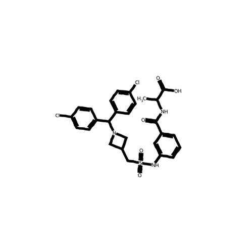 CC(NC(=O)c1cccc(NS(=O)(=O)CC2CN(C(c3ccc(Cl)cc3)c3ccc(Cl)cc3)C2)c1)C(=O)O